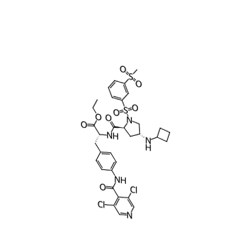 CCOC(=O)[C@@H](Cc1ccc(NC(=O)c2c(Cl)cncc2Cl)cc1)NC(=O)[C@@H]1C[C@@H](NC2CCC2)CN1S(=O)(=O)c1cccc(S(C)(=O)=O)c1